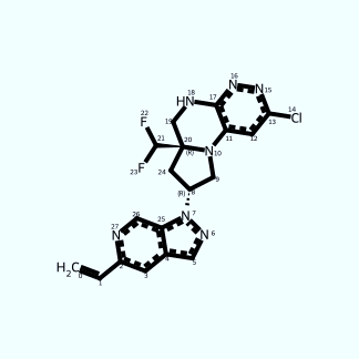 C=Cc1cc2cnn([C@H]3CN4c5cc(Cl)nnc5NC[C@@]4(C(F)F)C3)c2cn1